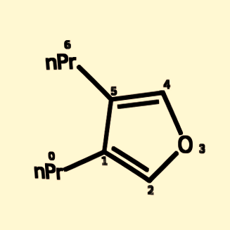 CCCc1cocc1CCC